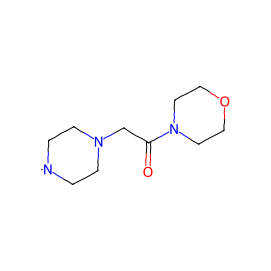 O=C(CN1CC[N]CC1)N1CCOCC1